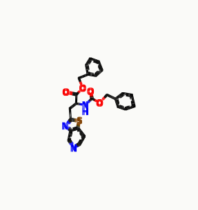 O=C(NC(Cc1nc2cnccc2s1)C(=O)OCc1ccccc1)OCc1ccccc1